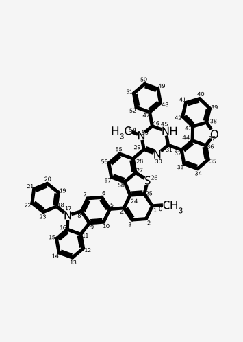 CC1CC=C(c2ccc3c(c2)c2ccccc2n3-c2ccccc2)c2c1sc1c(C3=NC(c4cccc5oc6ccccc6c45)NC(c4ccccc4)N3C)cccc21